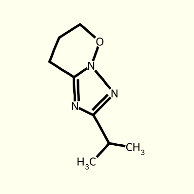 CC(C)c1nc2n(n1)OCCC2